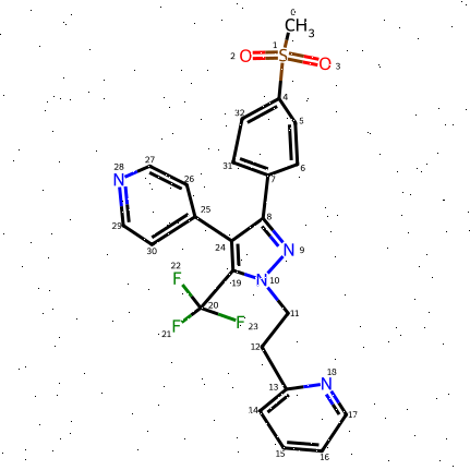 CS(=O)(=O)c1ccc(-c2nn(CCc3ccccn3)c(C(F)(F)F)c2-c2ccncc2)cc1